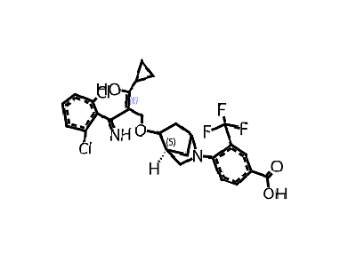 N=C(/C(COC1CC2C[C@H]1CN2c1ccc(C(=O)O)cc1C(F)(F)F)=C(\O)C1CC1)c1c(Cl)cccc1Cl